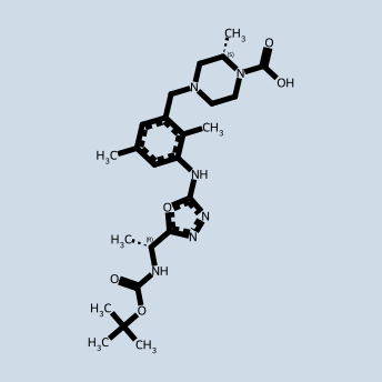 Cc1cc(CN2CCN(C(=O)O)[C@@H](C)C2)c(C)c(Nc2nnc([C@@H](C)NC(=O)OC(C)(C)C)o2)c1